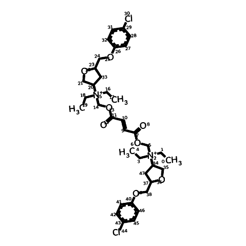 CC[N+](CC)(COC(=O)/C=C/C(=O)OC[N+](CC)(CC)C1COC(COc2ccc(Cl)cc2)C1)C1COC(COc2ccc(Cl)cc2)C1